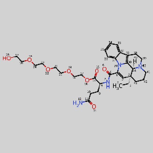 CC[C@@]12C=C(C(=O)N[C@@H](CCC(N)=O)C(=O)OCCOCCOCCOCCO)n3c4c(c5ccccc53)CCN(CCC1)[C@H]42